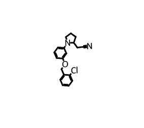 N#CCC1CCCN1c1cccc(OCc2ccccc2Cl)c1